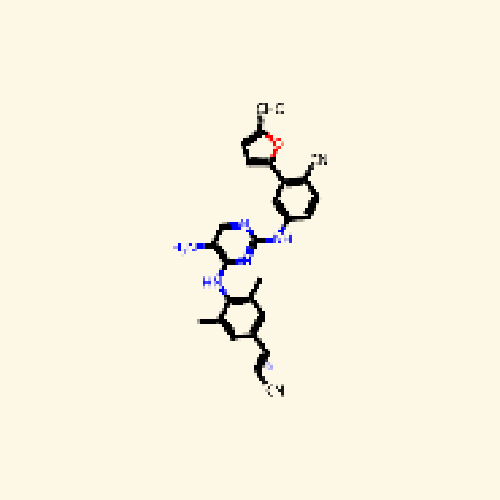 Cc1cc(/C=C/C#N)cc(C)c1Nc1nc(Nc2ccc(C#N)c(-c3ccc(C=O)o3)c2)ncc1N